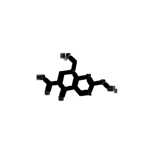 CCn1cc(C(=O)O)c(=O)c2cnc(OC)nc21